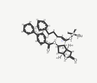 CC(C)(C)[Si](C)(C)O/C(=C/CCCc1ccccc1)[C@@H]1[C@H]2CC(=O)O[C@H]2C[C@H]1OC(=O)c1ccc(-c2ccccc2)cc1